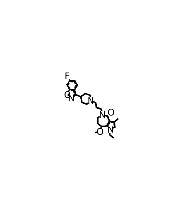 CCn1cc(C)c2c1C(OC)CCN(CCCN1CCC(c3noc4cc(F)ccc34)CC1)C2=O